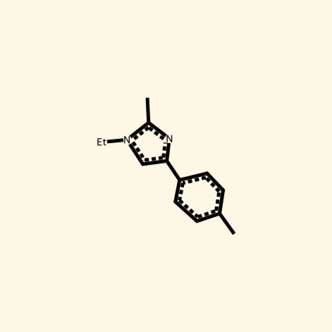 CCn1cc(-c2ccc(C)cc2)nc1C